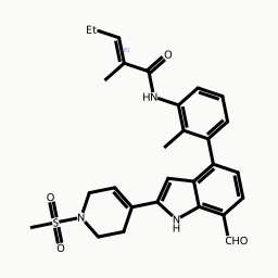 CC/C=C(\C)C(=O)Nc1cccc(-c2ccc(C=O)c3[nH]c(C4=CCN(S(C)(=O)=O)CC4)cc23)c1C